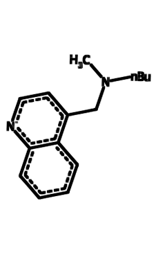 CCCCN(C)Cc1ccnc2ccccc12